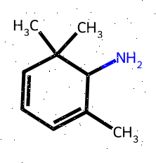 CC1=CC=CC(C)(C)C1N